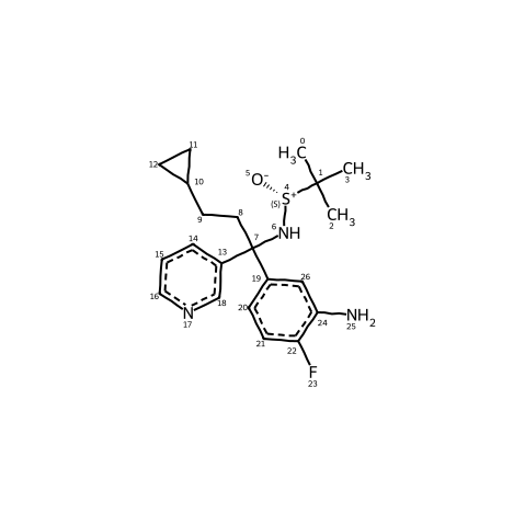 CC(C)(C)[S@@+]([O-])NC(CCC1CC1)(c1cccnc1)c1ccc(F)c(N)c1